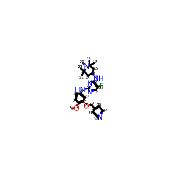 COc1ccc(Nc2ncc(F)c(NC3CC(C)(C)N(C)C(C)(C)C3)n2)cc1OCc1ccncc1